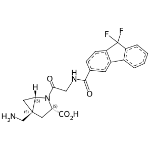 NC[C@@]12C[C@@H]1N(C(=O)CNC(=O)c1ccc3c(c1)-c1ccccc1C3(F)F)[C@H](C(=O)O)C2